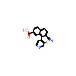 N#Cc1ccc2ccc(C(=O)O)cc2c1-c1ccncc1Cl